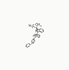 CCC(CC)n1nc(C(=O)NCCN2CCN(Cc3ccccc3)CC2)c2ccccc21